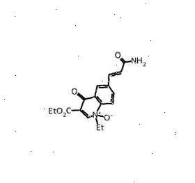 CCOC(=O)C1=C[N+]([O-])(CC)c2ccc(C=CC(N)=O)cc2C1=O